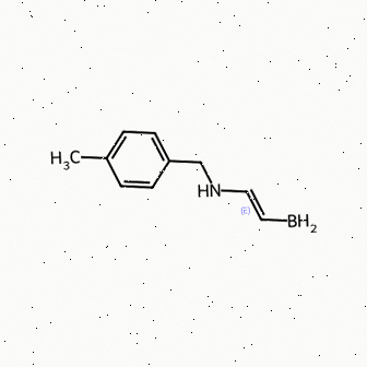 B/C=C/NCc1ccc(C)cc1